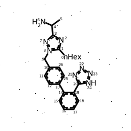 CCCCCCc1nc(C(C)N)nn1Cc1ccc(-c2ccccc2-c2nnn[nH]2)cc1